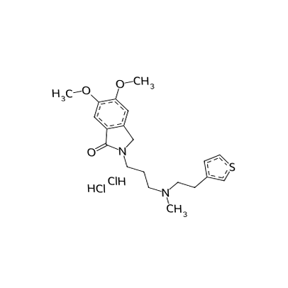 COc1cc2c(cc1OC)C(=O)N(CCCN(C)CCc1ccsc1)C2.Cl.Cl